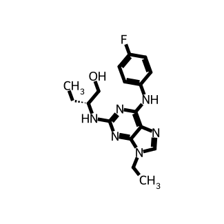 CC[C@H](CO)Nc1nc(Nc2ccc(F)cc2)c2ncn(CC)c2n1